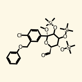 CO[C@@]1(c2ccc(Cl)c(COc3ccccc3)c2)O[C@H](C=O)[C@@H](O[Si](C)(C)C)C(O[Si](C)(C)C)C1O[Si](C)(C)C